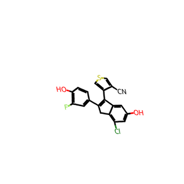 N#Cc1cscc1C1=C(c2ccc(O)c(F)c2)Cc2c(Cl)cc(O)cc21